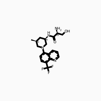 C[C@H]1C[C@@H](NC(=O)[C@@H](N)CO)CN(c2ccc(C(F)(F)F)c3ncccc23)C1